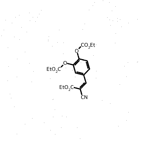 CCOC(=O)Oc1ccc(C=C(C#N)C(=O)OCC)cc1OC(=O)OCC